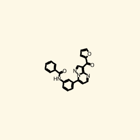 O=C(Nc1cccc(-c2ccnc3c(C(=O)c4ccco4)cnn23)c1)c1ccccc1